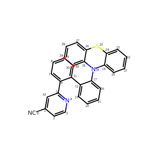 N#Cc1ccnc(-c2ccccc2-c2ccccc2N2c3ccccc3Sc3ccccc32)c1